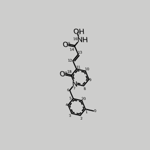 Cc1cccc(Cn2cccc(/C=C/C(=O)NO)c2=O)c1